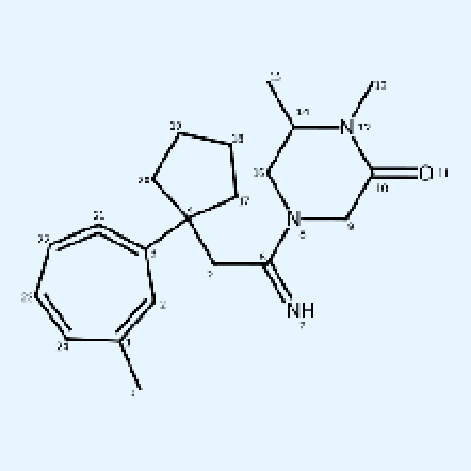 CC1=CC(C2(CC(=N)N3CC(=O)N(C)C(C)C3)CCCC2)=C=CC=C1